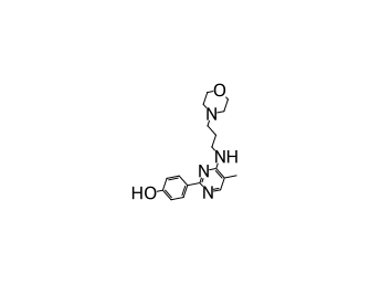 Cc1cnc(-c2ccc(O)cc2)nc1NCCCN1CCOCC1